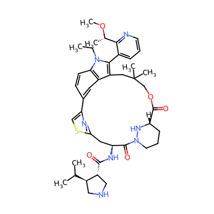 CCn1c(-c2cccnc2[C@H](C)OC)c2c3cc(ccc31)-c1csc(n1)C[C@H](NC(=O)[C@@H]1CNC[C@H]1C(C)C)C(=O)N1CCC[C@H](N1)C(=O)OCC(C)(C)C2